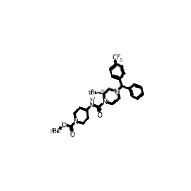 CC(C)(C)OC(=O)N1CCC(NC(=O)N2CCN(C(c3ccccc3)c3ccc(C(F)(F)F)cc3)C[C@@H]2C(C)(C)C)CC1